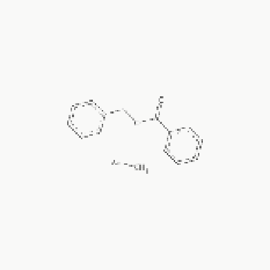 CC(C)=O.O=C(OCc1ccccc1)c1ccccc1